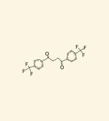 O=C(CCC(=O)c1ccc(C(F)(F)F)cc1)c1ccc(C(F)(F)F)cc1